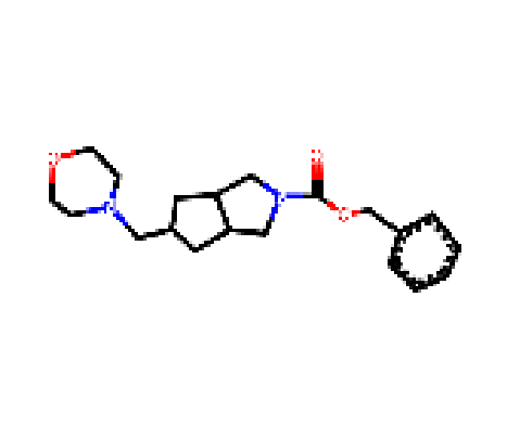 O=C(OCc1ccccc1)N1CC2CC(CN3CCOCC3)CC2C1